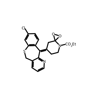 CCOC(=O)N1CCC(=C2c3ccc(Cl)cc3SCc3cccnc32)CC12OO2